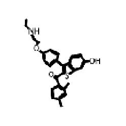 CCNCCOc1ccc(-c2c(C(=O)c3ccc(C)cc3C)sc3cc(O)ccc23)cc1